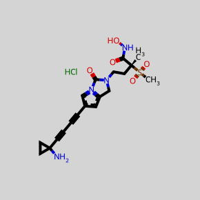 C[C@@](CCN1Cc2cc(C#CC#CC3(N)CC3)cn2C1=O)(C(=O)NO)S(C)(=O)=O.Cl